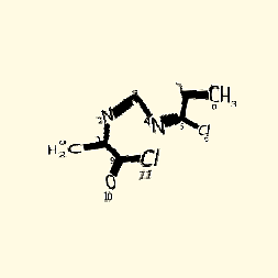 C=C(/N=C\N=C(\Cl)CC)C(=O)Cl